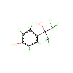 Oc1c(F)c(F)c(C(O)(C(F)(F)F)C(F)(F)F)c(F)c1F